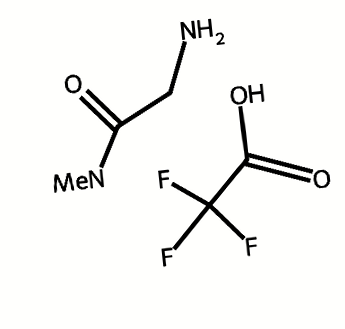 CNC(=O)CN.O=C(O)C(F)(F)F